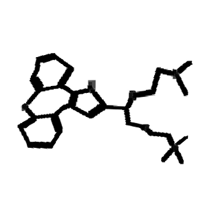 CN(C)CCOC(COCC[Si](C)(C)C)c1cc2c([nH]1)-c1ccccc1Sc1ccccc1-2